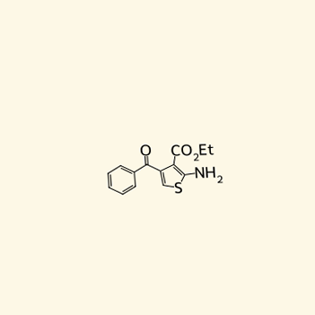 CCOC(=O)c1c(C(=O)c2ccccc2)csc1N